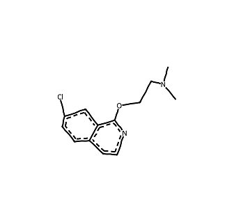 CN(C)CCOc1nccc2ccc(Cl)cc12